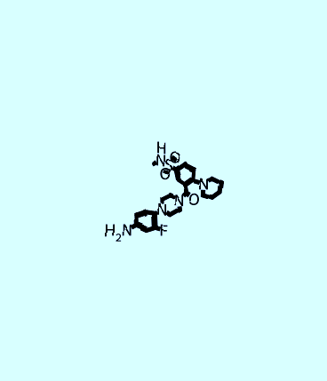 CNS(=O)(=O)c1ccc(N2CCCCC2)c(C(=O)N2CCN(c3ccc(N)cc3F)CC2)c1